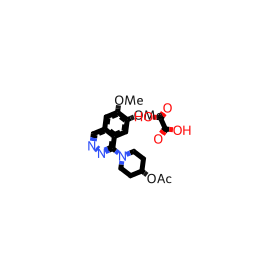 COc1cc2cnnc(N3CCC(OC(C)=O)CC3)c2cc1OC.O=C(O)C(=O)O